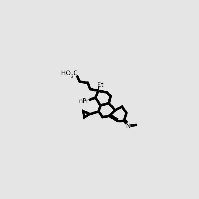 CCCC1C2C(C3CC3)CC3=C/C(=N/C)CCC3C2CC[C@]1(CC)CCCC(=O)O